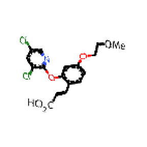 COCCOc1ccc(/C=C/C(=O)O)c(Oc2ncc(Cl)cc2Cl)c1